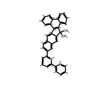 CC1(C)c2cc3cc(-c4cccc(-c5ccccn5)n4)ccc3cc2-c2c1c1ccccc1c1ccccc21